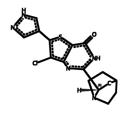 O=c1[nH]c([C@H]2CC3CCN2CC3)nc2c(Cl)c(-c3cn[nH]c3)sc12